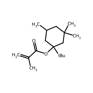 C=C(C)C(=O)OC1(C(C)(C)C)CC(C)CC(C)(C)C1